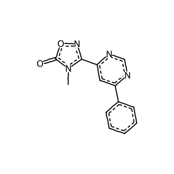 Cn1c(-c2cc(-c3ccccc3)ncn2)noc1=O